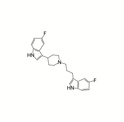 Fc1ccc2[nH]cc(CCCN3CCC(c4c[nH]c5ccc(F)cc45)CC3)c2c1